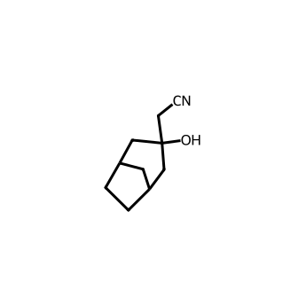 N#CCC1(O)CC2CCC(C2)C1